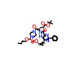 CCCCOC(=O)N1CCN(C(=O)[C@H](CCC(=O)OC(C)(C)C)NC(=O)c2cc([C@H]3C[C@@H]3COC)nc(-c3ccccc3)n2)CC1